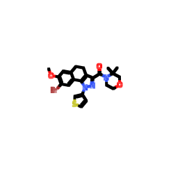 COc1cc2c(cc1Br)-c1c(c(C(=O)N3CCOCC3(C)C)nn1-c1ccsc1)CC2